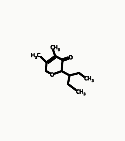 CCC(CC)C1OCC(C)=C(C)C1=O